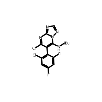 CCC(C)Nc1c(-c2c(Cl)cc(F)cc2Cl)c(Cl)nc2ncnn12